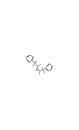 CC(OC(C)C(C)(C)c1ccccc1)C(C)(C)c1ccccc1